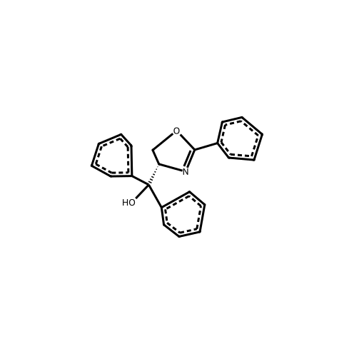 OC(c1ccccc1)(c1ccccc1)[C@@H]1COC(c2ccccc2)=N1